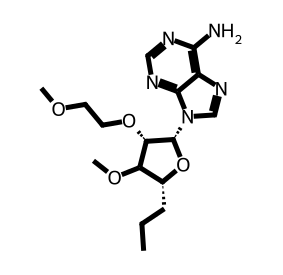 CCC[C@H]1O[C@@H](n2cnc3c(N)ncnc32)[C@@H](OCCOC)C1OC